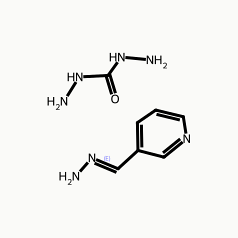 N/N=C/c1cccnc1.NNC(=O)NN